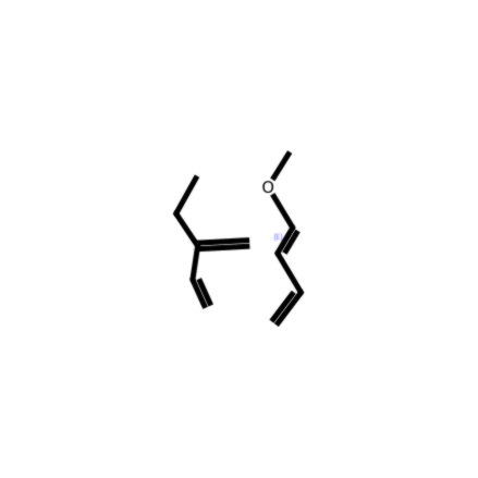 C=C/C=C/OC.C=CC(=C)CC